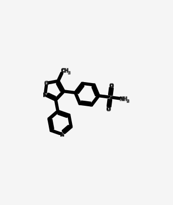 Cc1onc(-c2ccncc2)c1-c1ccc(S(N)(=O)=O)cc1